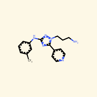 NCCCn1nc(Nc2cccc(C(F)(F)F)c2)nc1-c1ccncc1